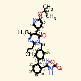 CCCc1nc(C)c(-c2ccc(OC(C)C)nc2)c(=O)n1Cc1ccc(-c2ccccc2-c2noc(=O)[nH]2)cc1F